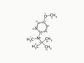 COc1ccc(N(C)C(C)(C)C)nc1